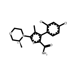 Cc1c(N2CCOC[C@@H]2C)sc(C(N)=O)c1-c1ccc(Cl)cc1Cl